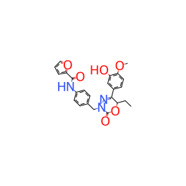 CCC1OC(=O)N(Cc2ccc(NC(=O)c3ccco3)cc2)N=C1c1ccc(OC)c(O)c1